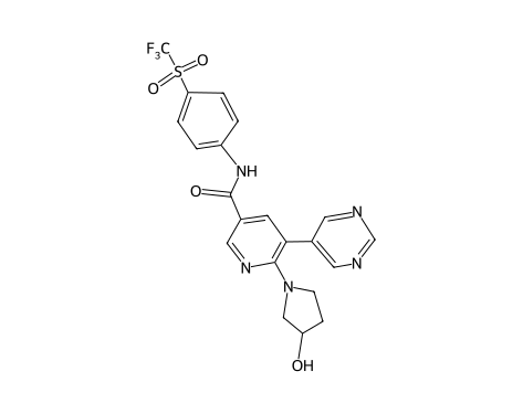 O=C(Nc1ccc(S(=O)(=O)C(F)(F)F)cc1)c1cnc(N2CCC(O)C2)c(-c2cncnc2)c1